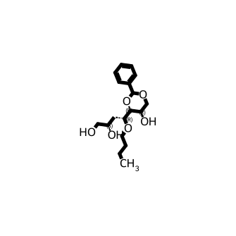 CCCCO[C@H](C[C@H](O)CO)[C@@H]1OC(c2ccccc2)OC[C@H]1O